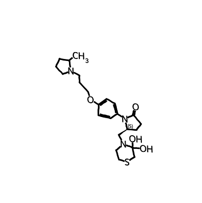 CC1CCCN1CCCOc1ccc(N2C(=O)CC[C@H]2CN2CCSCC2(O)O)cc1